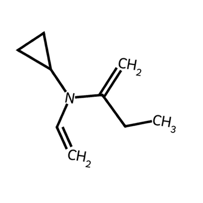 C=CN(C(=C)CC)C1CC1